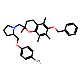 Cc1c(C)c2c(c(C)c1OCc1ccccc1)CCC(C)(CN1CCCC1COc1ccc([N+](=O)[O-])cc1)O2